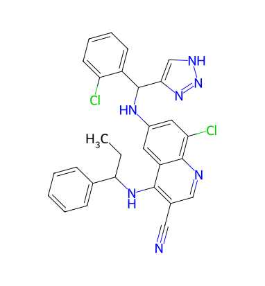 CCC(Nc1c(C#N)cnc2c(Cl)cc(NC(c3c[nH]nn3)c3ccccc3Cl)cc12)c1ccccc1